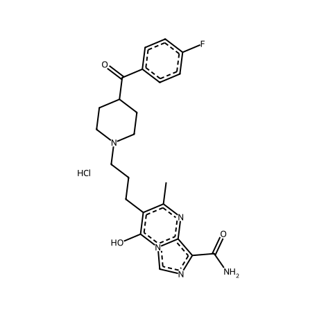 Cc1nc2c(C(N)=O)ncn2c(O)c1CCCN1CCC(C(=O)c2ccc(F)cc2)CC1.Cl